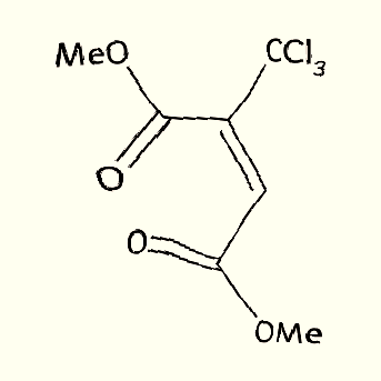 COC(=O)C=C(C(=O)OC)C(Cl)(Cl)Cl